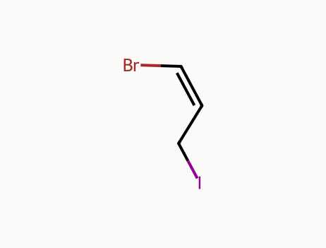 Br/C=C\CI